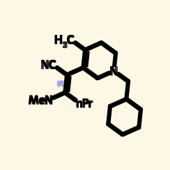 CCC/C(NC)=C(/C#N)C1=C(C)CCN(CC2CCCCC2)C1